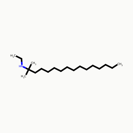 [CH2]CNC(C)(C)CCCCCCCCCCCCCC